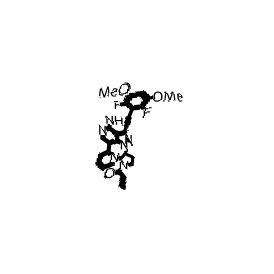 C=CC(=O)N1CCC(n2nc(C#Cc3c(F)c(OC)cc(OC)c3F)c3c(N)ncc(-c4ccccn4)c32)C1